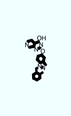 Cc1ccccc1Cn1ncc2cc(Oc3nc(O)c4ccncc4n3)ccc21